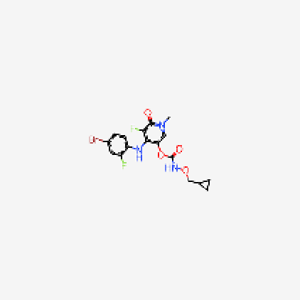 Cn1cc(OC(=O)NOCC2CC2)c(Nc2ccc(Br)cc2F)c(F)c1=O